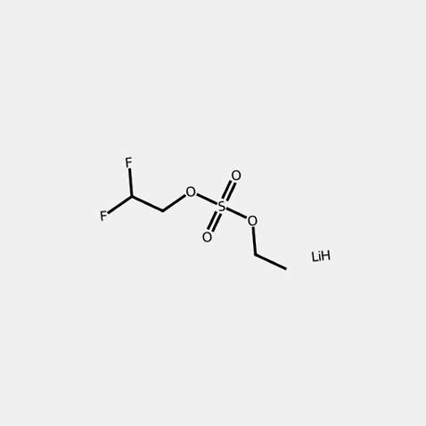 CCOS(=O)(=O)OCC(F)F.[LiH]